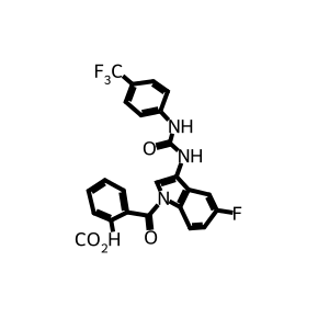 O=C(Nc1ccc(C(F)(F)F)cc1)Nc1cn(C(=O)c2ccccc2C(=O)O)c2ccc(F)cc12